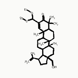 C=C(C)C1CCC2(CO)CCC3(C)C(CCC4C5(C)C=C(C(OCC)OCC)C(=O)C(C)(C)C5CCC43C)C12